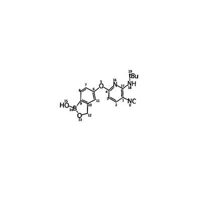 [C-]#[N+]c1ccc(Oc2ccc3c(c2)COB3O)nc1NC(C)(C)C